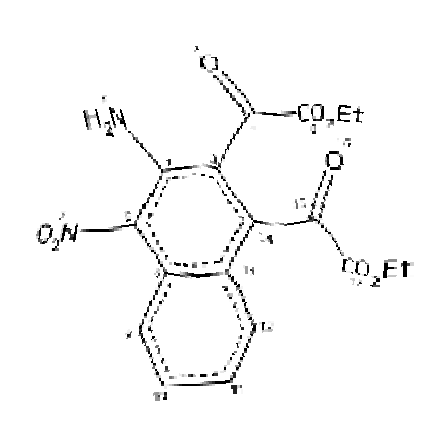 CCOC(=O)C(=O)c1c(N)c([N+](=O)[O-])c2ccccc2c1C(=O)C(=O)OCC